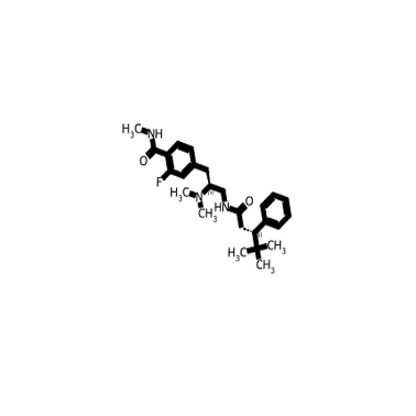 CNC(=O)c1ccc(C[C@@H](CNC(=O)C[C@H](c2ccccc2)C(C)(C)C)N(C)C)cc1F